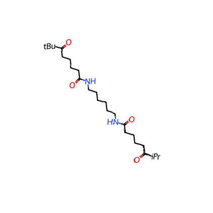 CC(C)C(=O)CCCCC(=O)NCCCCCCNC(=O)CCCCC(=O)C(C)(C)C